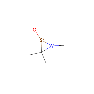 CN1[S+]([O-])C1(C)C